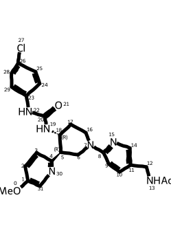 COc1ccc([C@@H]2CN(c3ccc(CNC(C)=O)cn3)CC[C@H]2NC(=O)Nc2ccc(Cl)cc2)nc1